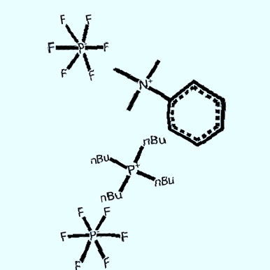 CCCC[P+](CCCC)(CCCC)CCCC.C[N+](C)(C)c1ccccc1.F[P-](F)(F)(F)(F)F.F[P-](F)(F)(F)(F)F